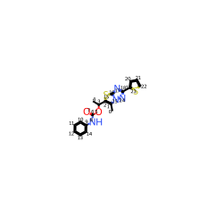 Cc1c(C(C)OC(=O)Nc2ccccc2)sc2nc(-c3cccs3)nn12